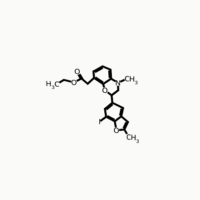 CCOC(=O)Cc1cccc2c1OC(c1cc(I)c3oc(C)cc3c1)CN2C